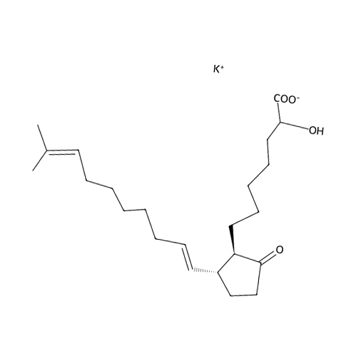 CC(C)=CCCCCC/C=C/[C@H]1CCC(=O)[C@@H]1CCCCCC(O)C(=O)[O-].[K+]